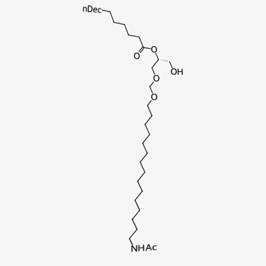 CCCCCCCCCCCCCCCC(=O)O[C@H](CO)COCOCCCCCCCCCCCCCCCNC(C)=O